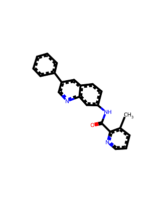 Cc1cccnc1C(=O)Nc1ccc2cc(-c3ccccc3)cnc2c1